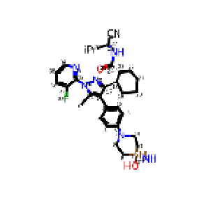 Cc1c(-c2ccc(N3CC[SH](=N)(O)CC3)cc2)c([C@@H]2CCCC[C@H]2C(=O)N[C@H](C#N)C(C)C)nn1-c1ncccc1F